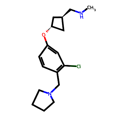 CNC[C@H]1C[C@H](Oc2ccc(CN3CCCC3)c(Cl)c2)C1